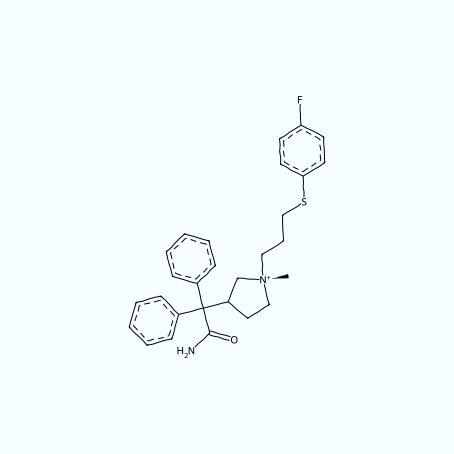 C[N@@+]1(CCCSc2ccc(F)cc2)CCC(C(C(N)=O)(c2ccccc2)c2ccccc2)C1